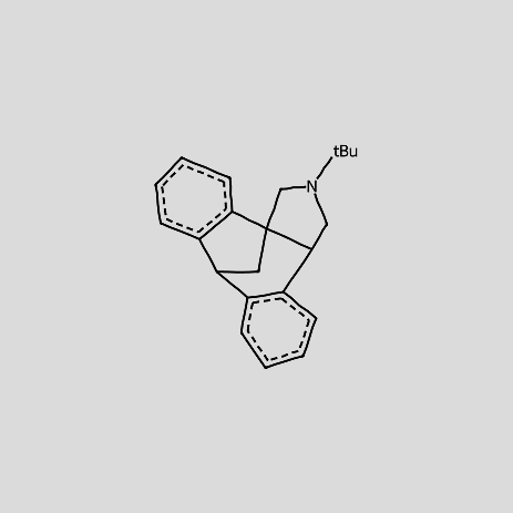 CC(C)(C)N1CC2c3ccccc3C3CC2(C1)c1ccccc13